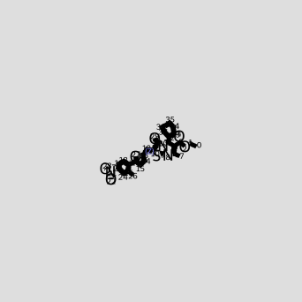 CCOC(=O)C1=C(C)N=c2s/c(=C\c3ccc(-c4ccc([N+](=O)[O-])cc4C)o3)c(=O)n2C1c1ccccc1